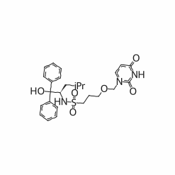 CC(C)C[C@@H](NS(=O)(=O)CCCOCn1ccc(=O)[nH]c1=O)C(O)(c1ccccc1)c1ccccc1